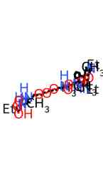 CC/N=c1/cc2oc3cc(NCC)c(C)cc3c(-c3ccccc3C(=O)N(C)CCOC(=O)NCCCOCCOCCOCCCNC3NC(=O)N(C4CC(O)C(CC)O4)C=C3C)c-2cc1C